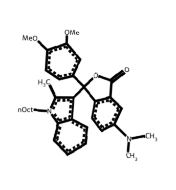 CCCCCCCCn1c(C)c(C2(c3ccc(OC)c(OC)c3)OC(=O)c3cc(N(C)C)ccc32)c2ccccc21